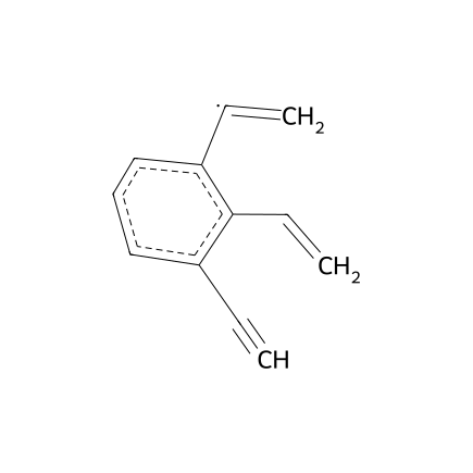 C#Cc1cccc([C]=C)c1C=C